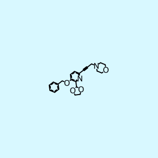 C(#Cc1ccc(OCc2ccccc2)c(C2OCCO2)n1)CN1CCOCC1